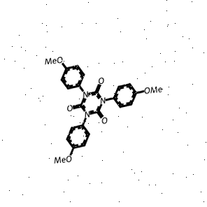 COc1ccc(-n2c(=O)n(-c3ccc(OC)cc3)c(=O)n(-c3ccc(OC)cc3)c2=O)cc1